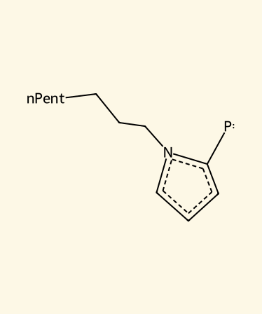 CCCCCCCCn1cccc1[P]